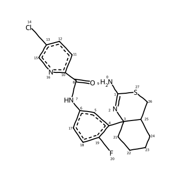 NC1=NC2(c3cc(NC(=O)c4ccc(Cl)cn4)ccc3F)CCCCC2CS1